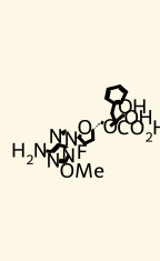 COc1nc(N)c2ncn([C@@H]3O[C@H](COC(Cc4ccccc4)(C(=O)O)C(O)O)C[C@@H]3F)c2n1